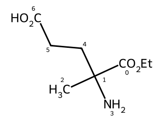 CCOC(=O)C(C)(N)CCC(=O)O